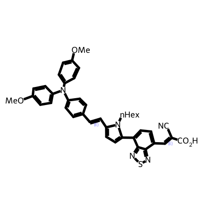 CCCCCCn1c(/C=C/c2ccc(N(c3ccc(OC)cc3)c3ccc(OC)cc3)cc2)ccc1-c1ccc(/C=C(\C#N)C(=O)O)c2nsnc12